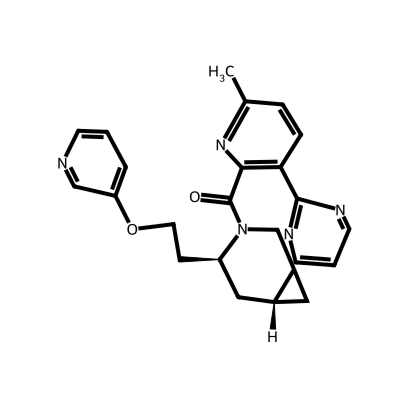 Cc1ccc(-c2ncccn2)c(C(=O)N2CC3C[C@@H]3C[C@H]2CCOc2cccnc2)n1